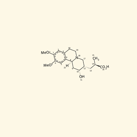 COc1cc2c(cc1OC)[C@@H]1C[C@@H](O)[C@@H](C[C@@H](C)C(=O)O)CN1CC2